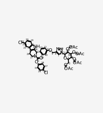 CC(=O)OOCC1OC(n2cc(COc3ccc([C@H]4c5[nH]c6ccc(Cl)cc6c5CCN4C(=O)Oc4ccc(Cl)cc4)cc3)nn2)C(OOC(C)=O)C(OOC(C)=O)C1OOC(C)=O